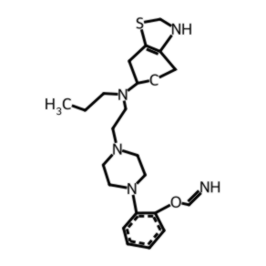 CCCN(CCN1CCN(c2ccccc2OC=N)CC1)C1CCC2=C(C1)SCN2